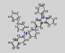 c1ccc(-c2ccc(N(c3cccc(-c4ccc5c(c4)c4ccccc4n5-c4ccccc4)c3)c3ccc4ccccc4c3)cc2)cc1